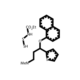 CCOC(=O)NSS.CNCCC(Oc1cccc2ccccc12)c1cccs1